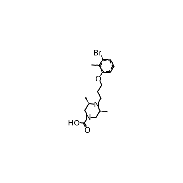 Cc1c(Br)cccc1OCCCN1[C@H](C)CN(C(=O)O)C[C@@H]1C